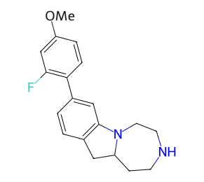 COc1ccc(-c2ccc3c(c2)N2CCNCCC2C3)c(F)c1